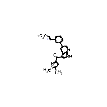 Cc1cc(C(=O)c2c[nH]c3ncc(-c4cccc(/C=C/C(=O)O)c4)cc23)nn1C